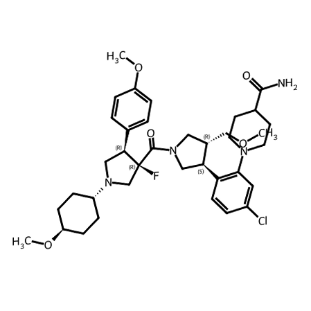 COC[C@H]1CN(C(=O)[C@]2(F)CN([C@H]3CC[C@H](OC)CC3)C[C@H]2c2ccc(OC)cc2)C[C@@H]1c1ccc(Cl)cc1N1CCC(C(N)=O)CC1